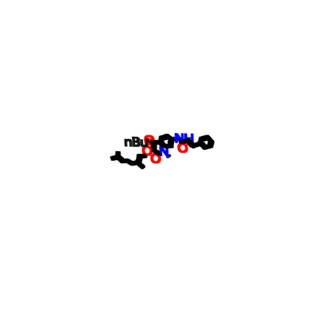 CCCCOc1c(OC/C=C(\C)CCC=C(C)C)c(=O)n(C)c2cc(NC(=O)/C=C/c3ccccc3)ccc12